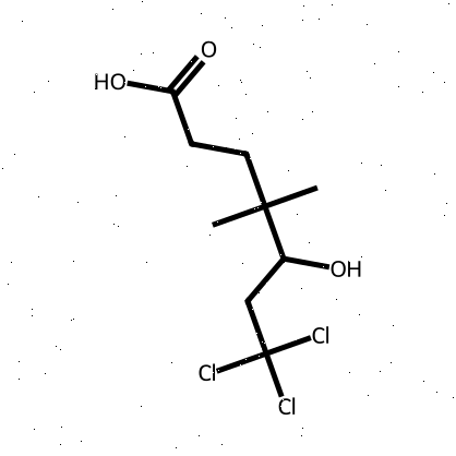 CC(C)(CCC(=O)O)C(O)CC(Cl)(Cl)Cl